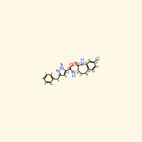 Cn1nc(Cc2ccccc2)cc1C(=O)N[C@H]1CCc2ccc(Cl)cc2NC1=O